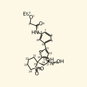 CCOCC(=O)Nc1cccc(-c2ccc([C@@]3(CC(=O)NO)CCCCS3(=O)=O)s2)c1